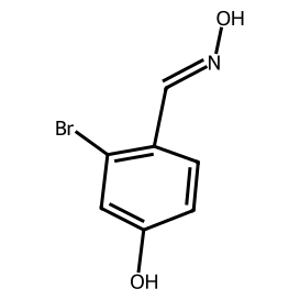 ON=Cc1ccc(O)cc1Br